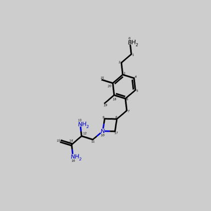 BCCc1ccc(CC2CN(CC(N)C(=C)N)C2)c(C)c1C